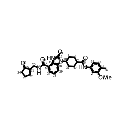 COc1cc(NC(=O)C2CCC(n3c(=O)[nH]c4c(C(=O)NCC5CCCC5=O)cccc43)CC2)ccc1C